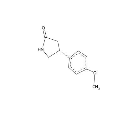 COc1ccc([C@@H]2CNC(=O)C2)cc1